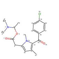 CCN(CC)C(C)OC(=O)Cc1cc(C)c(C(=O)c2ccc(Cl)cc2)n1C